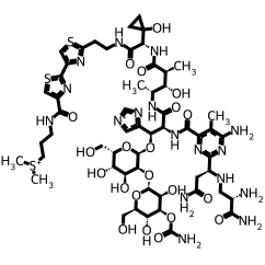 Cc1c(N)nc([C@H](CC(N)=O)NC[C@H](N)C(N)=O)nc1C(=O)N[C@H](C(=O)N[C@H](C)[C@@H](O)[C@H](C)C(=O)N[C@H](C(=O)NCCc1nc(-c2nc(C(=O)NCCC[S+](C)C)cs2)cs1)C1(O)CC1)[C@@H](O[C@@H]1O[C@@H](CO)[C@@H](O)[C@H](O)[C@@H]1O[C@H]1O[C@H](CO)[C@@H](O)[C@H](OC(N)=O)[C@@H]1O)c1c[n-]cn1